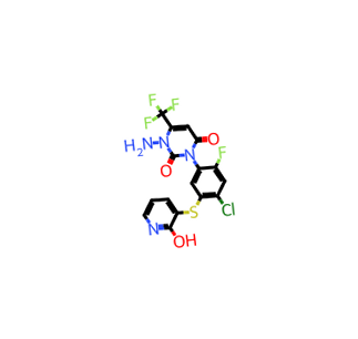 Nn1c(C(F)(F)F)cc(=O)n(-c2cc(Sc3cccnc3O)c(Cl)cc2F)c1=O